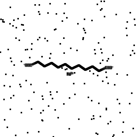 O=C([O-])CCCCCCCCCCC(=O)[O-].[Pd+2]